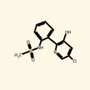 CS(=O)(=O)Nc1ccccc1-c1ncc(Cl)cc1O